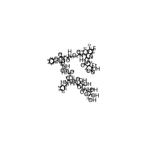 CC[C@@]1(O)C(=O)OCc2c1cc1n(c2=O)Cc2c-1nc1cc(F)c(C)c3c1c2[C@@H](NC(=O)COCNC(=O)CNC(=O)[C@H](Cc1ccccc1)NC(=O)CNC(=O)CNC(=O)[C@H](CCC(=O)NC1O[C@H](C(=O)NC2O[C@H](CO)[C@@H](O)[C@H]2O)[C@@H](O)[C@H]1O)OC(=O)NCc1ccccc1)CC3